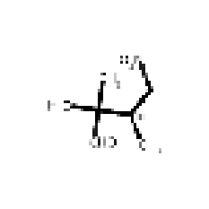 C[C@H](C[N+](=O)[O-])C(C)(C)C=O